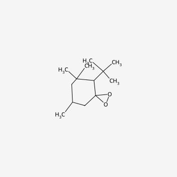 CC1CC(C)(C)C(C(C)(C)C)C2(C1)OO2